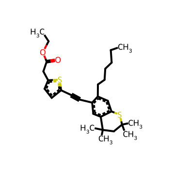 CCCCCCc1cc2c(cc1C#Cc1ccc(CC(=O)OCC)s1)C(C)(C)CC(C)(C)S2